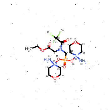 CCOC(=O)CN(CP(=O)(O[N+]1(N)CCOCC1)O[N+]1(N)CCOCC1)C(=O)C(F)(F)F